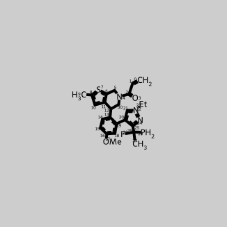 C=CC(=O)N1Cc2sc(C)cc2C(c2ccc(OC)cc2-c2cn(CC)nc2C(C)(F)P)C1